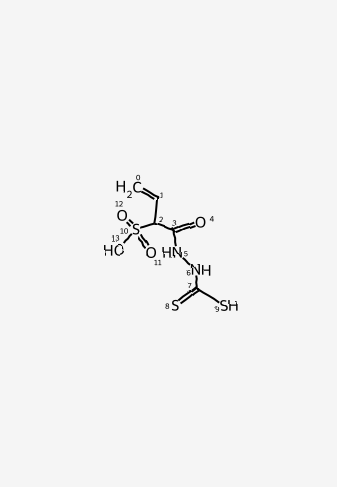 C=CC(C(=O)NNC(=S)S)S(=O)(=O)O